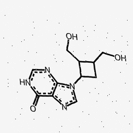 O=c1[nH]cnc2c1ncn2C1CC(CO)C1CO